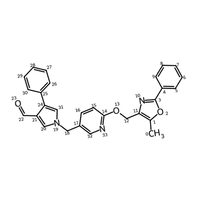 Cc1oc(-c2ccccc2)nc1COc1ccc(Cn2cc(C=O)c(-c3ccccc3)c2)cn1